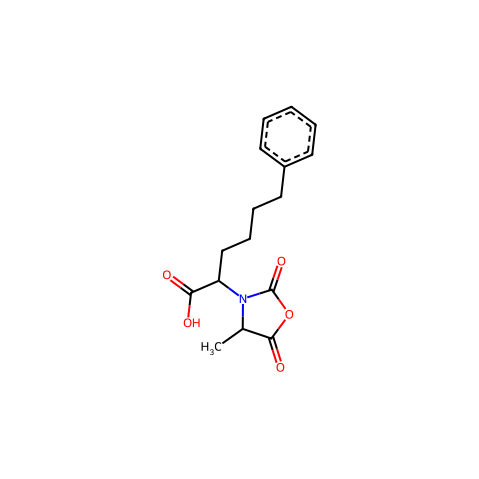 CC1C(=O)OC(=O)N1C(CCCCc1ccccc1)C(=O)O